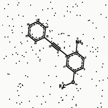 Nc1ccc(OC(F)(F)F)cc1C#Cc1ccccc1